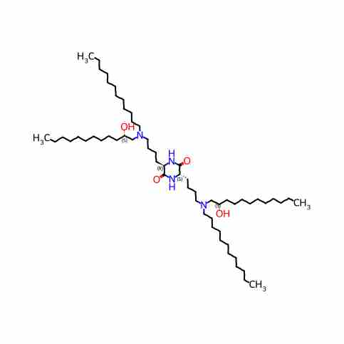 CCCCCCCCCCCCN(CCCC[C@@H]1NC(=O)[C@@H](CCCCN(CCCCCCCCCCCC)C[C@@H](O)CCCCCCCCCC)NC1=O)C[C@@H](O)CCCCCCCCCC